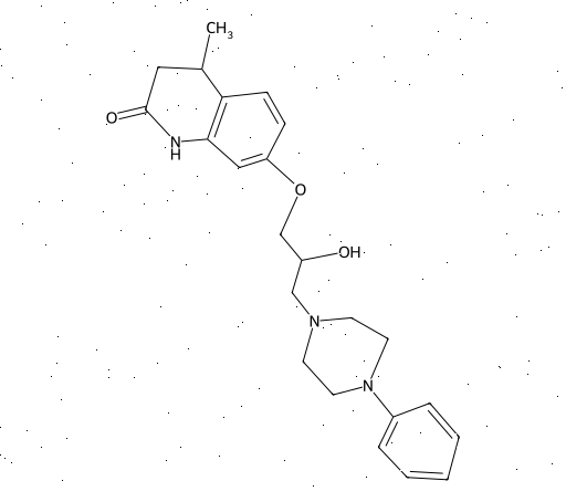 CC1CC(=O)Nc2cc(OCC(O)CN3CCN(c4ccccc4)CC3)ccc21